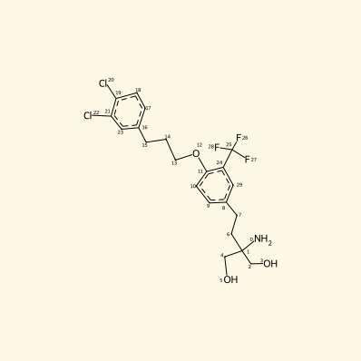 NC(CO)(CO)CCc1ccc(OCCCc2ccc(Cl)c(Cl)c2)c(C(F)(F)F)c1